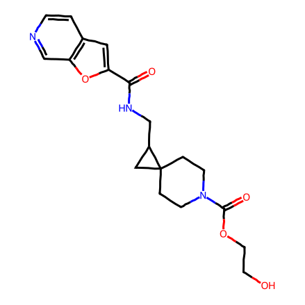 O=C(NCC1CC12CCN(C(=O)OCCO)CC2)c1cc2ccncc2o1